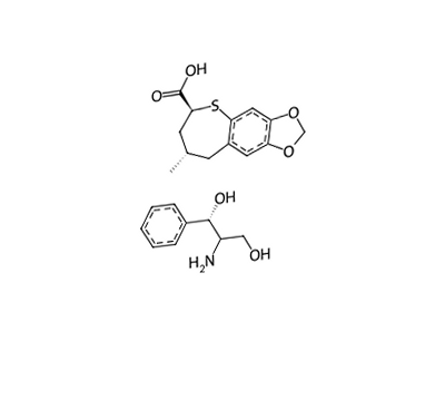 C[C@H]1Cc2cc3c(cc2S[C@H](C(=O)O)C1)OCO3.NC(CO)[C@@H](O)c1ccccc1